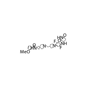 COc1cccc(C(=O)NC2CC3(CCN(CCC4CCN(c5cc(F)c(NC6CCC(=O)NC6=O)cc5F)CC4)CC3)C2)c1